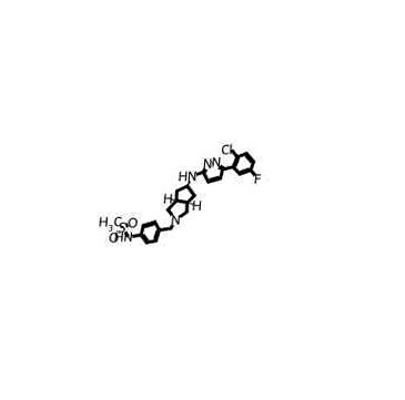 CS(=O)(=O)Nc1ccc(CN2C[C@H]3C[C@@H](Nc4ccc(-c5cc(F)ccc5Cl)nn4)C[C@H]3C2)cc1